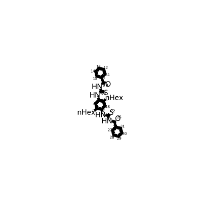 CCCCCCc1cc(NC(=S)NC(=O)c2ccccc2)c(CCCCCC)cc1NC(=S)NC(=O)c1ccccc1